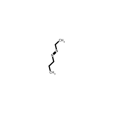 CCCN=NCC